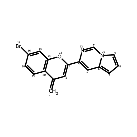 C=C1C=C(c2cc3cccn3cn2)Oc2cc(Br)ccc21